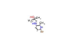 Cc1nc(Br)ccc1NCC(C)(C)O